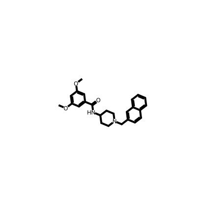 COc1cc(OC)cc(C(=O)NC2CCN(Cc3ccc4ccccc4c3)CC2)c1